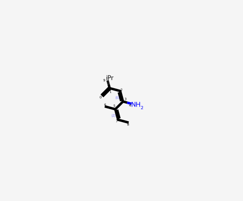 C=C(/C=C(N)\C(C)=C/C)C(C)C